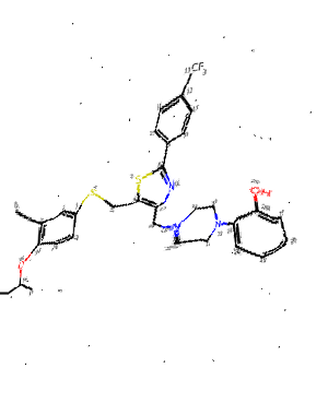 Cc1cc(SCc2sc(-c3ccc(C(F)(F)F)cc3)nc2CN2CCN(c3ccccc3O)CC2)ccc1OC(C)C(=O)O